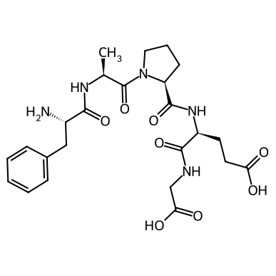 C[C@H](NC(=O)[C@@H](N)Cc1ccccc1)C(=O)N1CCC[C@H]1C(=O)N[C@@H](CCC(=O)O)C(=O)NCC(=O)O